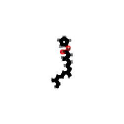 CCC(C)CCCC(C)C/C=C/C(C)=C/C(=O)OC1CCCC1